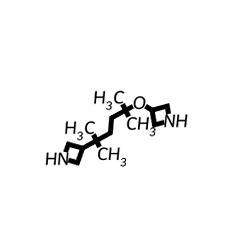 CC(C)(CCC(C)(C)C1CNC1)OC1CNC1